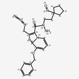 [N-]=[N+]=NCc1nc2c(OCc3ccccc3)cccn2c1C(=O)N(N)CCC1(N=O)CCCC1